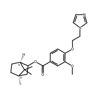 COc1cc(C(=O)OC2C[C@@]3(C)CC[C@@H]2C3(C)C)ccc1OCCn1ccnc1